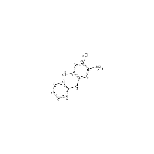 O=[N+]([O-])c1cc(Oc2ncccn2)c(Cl)cc1Cl